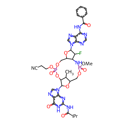 COP1(=O)NC2C(COP(=O)(OCCC#N)OC3C(C)C(CO1)OC3n1cnc3c(=O)[nH]c(NC(=O)C(C)C)nc31)OC(n1cnc3c(NC(=O)c4ccccc4)ncnc31)C2F